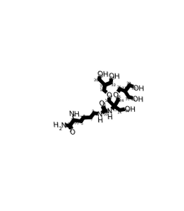 NC(=O)[C@H](N)CCCCNC(=O)NC(CO)(COCC(CO)CO)COCC(CO)CO